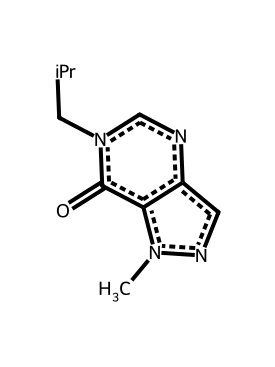 CC(C)Cn1cnc2cnn(C)c2c1=O